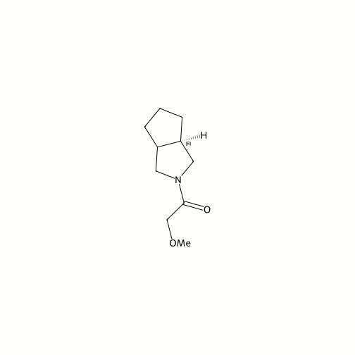 COCC(=O)N1CC2CCC[C@H]2C1